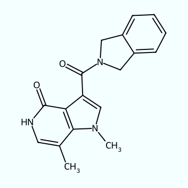 Cc1c[nH]c(=O)c2c(C(=O)N3Cc4ccccc4C3)cn(C)c12